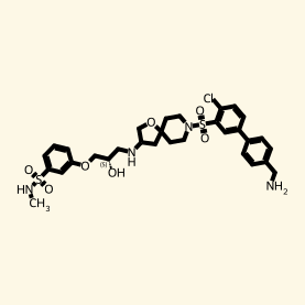 CNS(=O)(=O)c1cccc(OC[C@@H](O)CNC2COC3(CCN(S(=O)(=O)c4cc(-c5ccc(CN)cc5)ccc4Cl)CC3)C2)c1